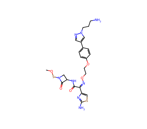 COSN1CC(NC(=O)/C(=N\OCCOc2ccc(-c3cnn(CCCN)c3)cc2)c2csc(N)n2)C1=O